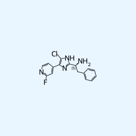 N[C@@H](Cc1ccccc1)c1nc(-c2ccnc(F)c2)c(Cl)[nH]1